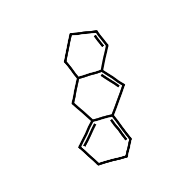 C1=CC2=CC3=CCCC=C3CC2CC1